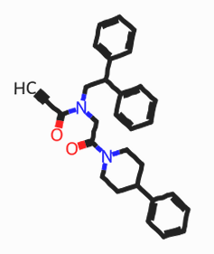 C#CC(=O)N(CC(=O)N1CCC(c2ccccc2)CC1)CC(c1ccccc1)c1ccccc1